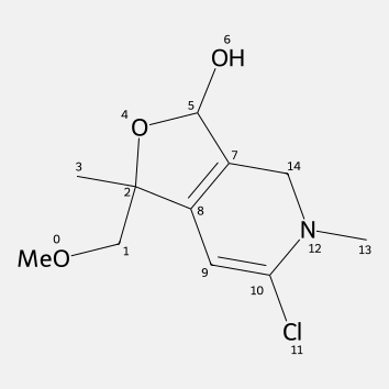 COCC1(C)OC(O)C2=C1C=C(Cl)N(C)C2